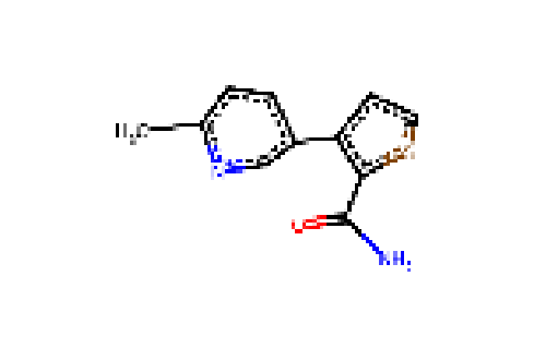 Cc1ccc(-c2ccsc2C(N)=O)cn1